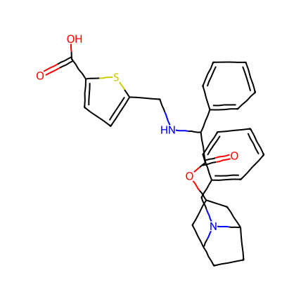 O=C(O)c1ccc(CNC(C(=O)OC2CC3CCC(C2)N3Cc2ccccc2)c2ccccc2)s1